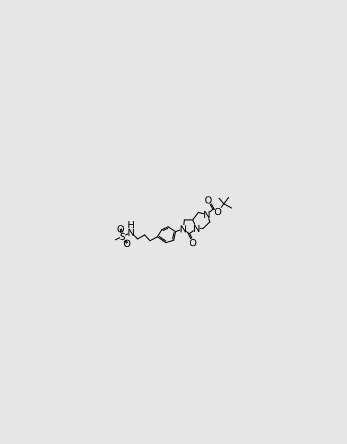 CC(C)(C)OC(=O)N1CCN2C(=O)N(c3ccc(CCCNS(C)(=O)=O)cc3)CC2C1